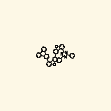 c1ccc(-c2nc(-c3ccccc3)nc(-c3cccc4oc5ccc(-c6ccc7oc8cccc(-c9ccc%10c%11ccccc%11c%11ccccc%11c%10c9)c8c7c6)cc5c34)n2)cc1